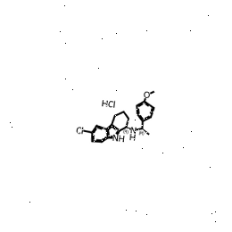 COc1ccc([C@@H](C)N[C@@H]2CCCc3c2[nH]c2ccc(Cl)cc32)cc1.Cl